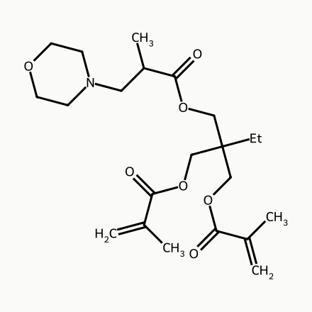 C=C(C)C(=O)OCC(CC)(COC(=O)C(=C)C)COC(=O)C(C)CN1CCOCC1